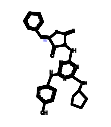 O=C1/C(=C/c2ccccc2)SC(=S)N1Nc1nc(Nc2ccc(O)cc2)nc(NC2CCCC2)n1